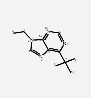 CCn1cnc2c(C(C)(C)C)ncnc21